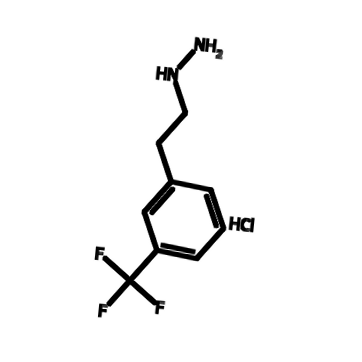 Cl.NNCCc1cccc(C(F)(F)F)c1